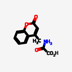 Cc1cc(=O)oc2ccccc12.NC(=O)C(=O)O